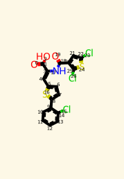 O=C(O)C(=Cc1ccc(-c2ccccc2Cl)s1)NC(=O)c1cc(Cl)sc1Cl